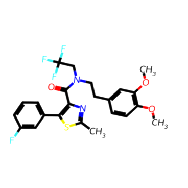 COc1ccc(CCN(CC(F)(F)F)C(=O)c2nc(C)sc2-c2cccc(F)c2)cc1OC